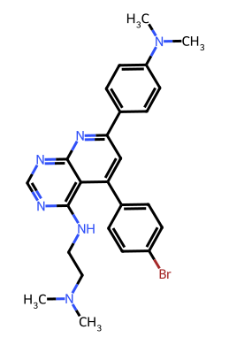 CN(C)CCNc1ncnc2nc(-c3ccc(N(C)C)cc3)cc(-c3ccc(Br)cc3)c12